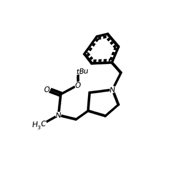 CN(CC1CCN(Cc2ccccc2)C1)C(=O)OC(C)(C)C